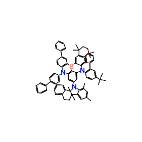 Cc1cc(C)c2c(c1)C1(C)CCc3ccccc3C1(C)N2c1cc2c3c(c1)N(c1ccc(C(C)(C)C)cc1-c1ccccc1)c1cc4c(cc1B3c1cc(-c3ccccc3)ccc1N2c1ccc(-c2ccccc2)cc1)C(C)(C)CCC4(C)C